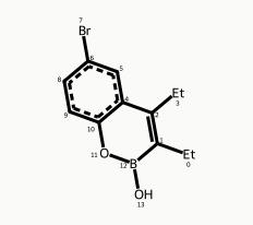 CCC1=C(CC)c2cc(Br)ccc2OB1O